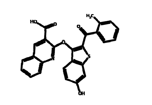 Cc1ccccc1C(=O)c1sc2cc(O)ccc2c1Oc1nc2ccccc2cc1C(=O)O